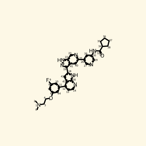 CN(C)CCOc1cc(F)cc(-c2ccnc3[nH]c(-c4n[nH]c5cnc(-c6cncc(NC(=O)C7CCCC7)c6)cc45)cc23)c1